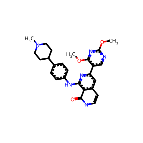 COc1ncc(-c2cc3c(c(Nc4ccc(C5CCN(C)CC5)cc4)n2)C(=O)[N]C=C3)c(OC)n1